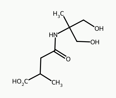 CC(CC(=O)NC(C)(CO)CO)C(=O)O